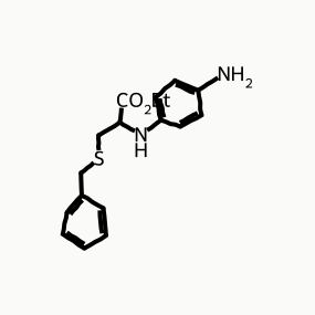 CCOC(=O)C(CSCc1ccccc1)Nc1ccc(N)cc1